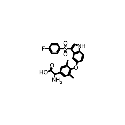 Cc1cc([C@@H](N)C(=O)O)cc(C)c1Oc1ccc2[nH]cc(S(=O)(=O)c3ccc(F)cc3)c2c1